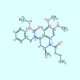 CCCC(=O)N1c2cc(OC)c(OC)cc2[C@H](N(Cc2ccccc2)C(=O)OCC)C[C@@H]1C